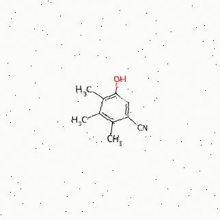 Cc1c(O)cc(C#N)c(C)c1C